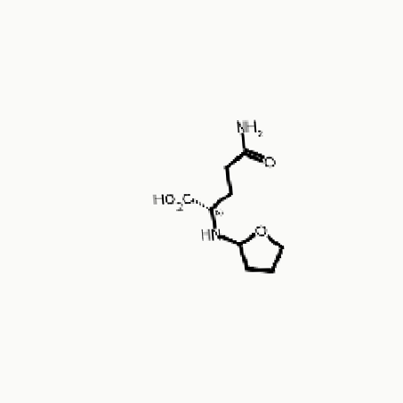 NC(=O)CC[C@H](NC1CCCO1)C(=O)O